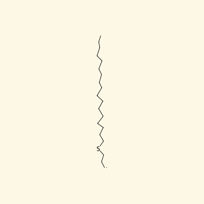 [CH2]CCSCCCCCCCCCCCCCCCCC